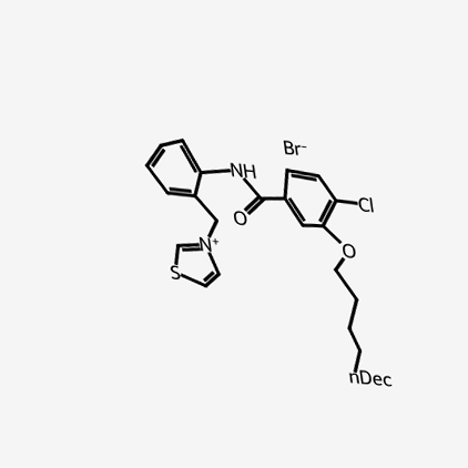 CCCCCCCCCCCCCCOc1cc(C(=O)Nc2ccccc2C[n+]2ccsc2)ccc1Cl.[Br-]